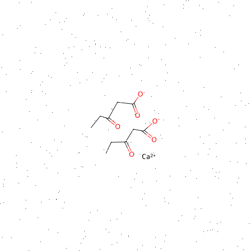 CCC(=O)CC(=O)[O-].CCC(=O)CC(=O)[O-].[Ca+2]